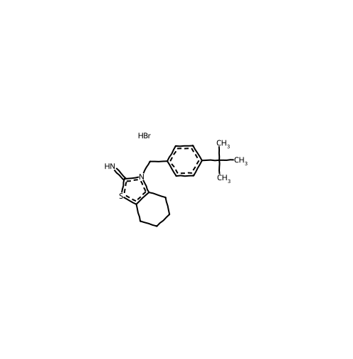 Br.CC(C)(C)c1ccc(Cn2c3c(sc2=N)CCCC3)cc1